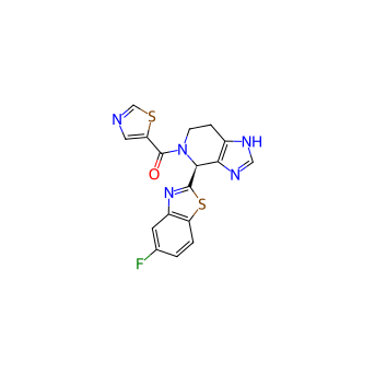 O=C(c1cncs1)N1CCc2[nH]cnc2[C@H]1c1nc2cc(F)ccc2s1